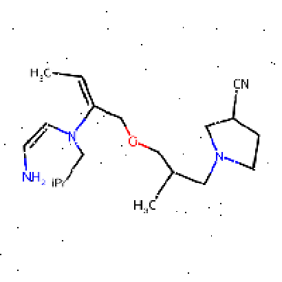 C/C=C(/COCC(C)CN1CCC(C#N)C1)N(/C=C\N)CC(C)C